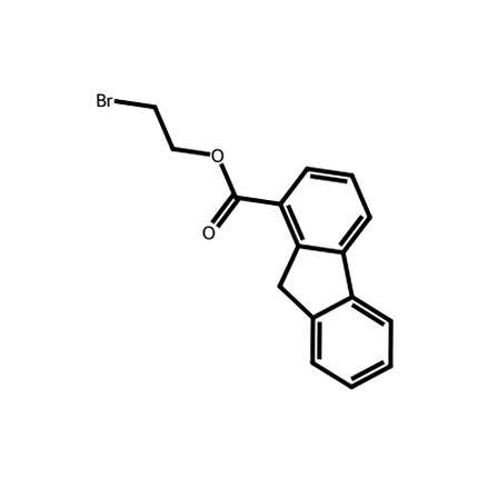 O=C(OCCBr)c1cccc2c1Cc1ccccc1-2